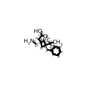 CC(C)(C)[C@]1(Cc2ccccc2)C[C@@](CN)(CC(=O)O)C1